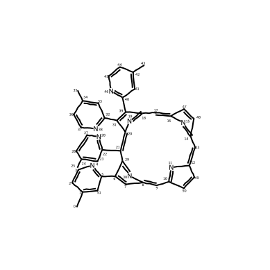 Cc1ccnc(C2=CC3=CC4=NC(=CC5=NC(=CC6=NC(=C(c7cc(C)ccn7)C2=N3)C(c2cc(C)ccn2)=C6c2cc(C)ccn2)C=C5)C=C4)c1